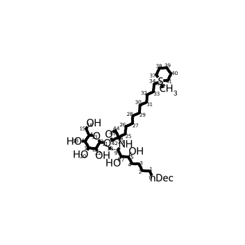 CCCCCCCCCCCCCC[C@@H](O)[C@@H](O)[C@H](COC1OC(CO)C(O)C(O)C1O)NC1(CCCCCCCCCCS2(C)CCCCC2)COC1